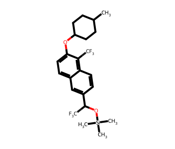 CC1CCC(Oc2ccc3cc(C(O[Si](C)(C)C)C(F)(F)F)ccc3c2C(F)(F)F)CC1